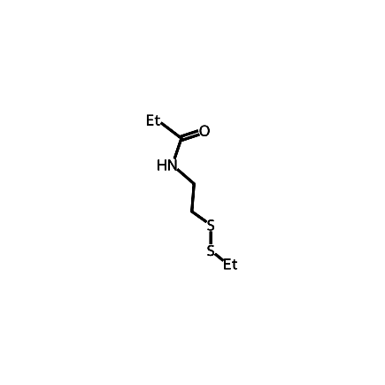 CCSSCCNC(=O)CC